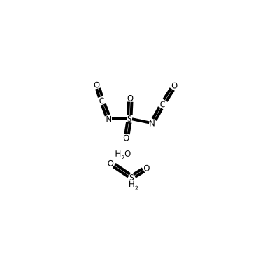 O.O=C=NS(=O)(=O)N=C=O.O=[SH2]=O